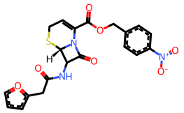 O=C(Cc1ccco1)NC1C(=O)N2C(C(=O)OCc3ccc([N+](=O)[O-])cc3)=CCS[C@@H]12